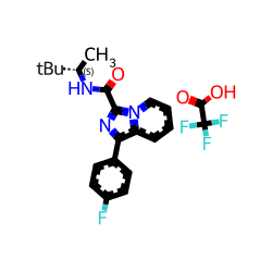 C[C@H](NC(=O)c1nc(-c2ccc(F)cc2)c2ccccn12)C(C)(C)C.O=C(O)C(F)(F)F